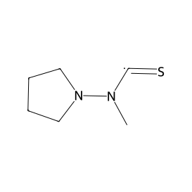 CN([C]=S)N1CCCC1